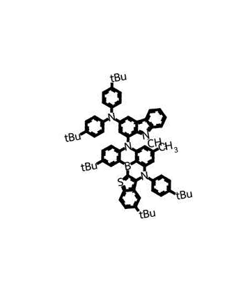 Cc1cc2c3c(c1)N(c1cc(N(c4ccc(C(C)(C)C)cc4)c4ccc(C(C)(C)C)cc4)cc4c5ccccc5n(C)c14)c1ccc(C(C)(C)C)cc1B3c1sc3ccc(C(C)(C)C)cc3c1N2c1ccc(C(C)(C)C)cc1